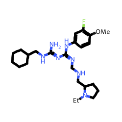 CCN1CCCC1CNC/N=C(\N=C(/N)NCC1CCCCC1)Nc1ccc(OC)c(F)c1